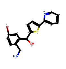 NCc1ccc(Br)cc1C(O)c1ccc(-c2ccccn2)s1